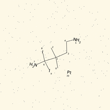 CC(C)(CCN)C(N)(I)I.[Pt]